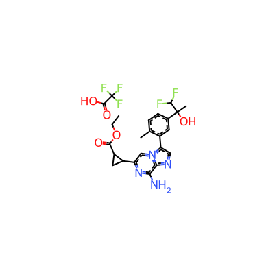 CCOC(=O)C1CC1c1cn2c(-c3cc(C(C)(O)C(F)F)ccc3C)cnc2c(N)n1.O=C(O)C(F)(F)F